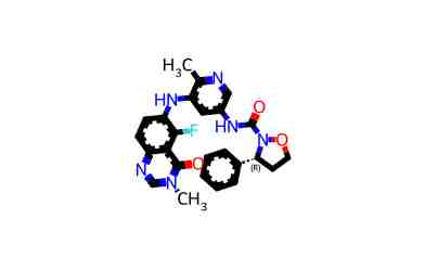 Cc1ncc(NC(=O)N2OCC[C@@H]2c2ccccc2)cc1Nc1ccc2ncn(C)c(=O)c2c1F